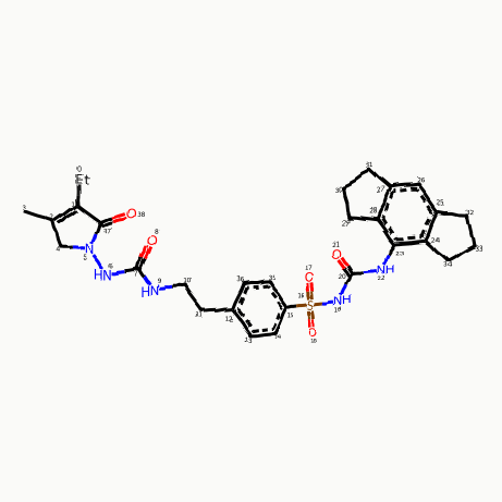 CCC1=C(C)CN(NC(=O)NCCc2ccc(S(=O)(=O)NC(=O)Nc3c4c(cc5c3CCC5)CCC4)cc2)C1=O